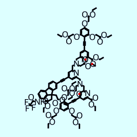 CCOC(=O)COc1cc(OCC(=O)OCC)c(C#Cc2cc(CN(CC(=O)OCC)Cc3cc(C#Cc4ccc5c(c4)C(CC(=O)OCC)(CC(=O)OCC)c4cc(NC(=O)C(F)(F)F)ccc4-5)cc(CN(CC(=O)OCC)Cc4cc(C#Cc5c(OCC(=O)OCC)cc(OCC(=O)OCC)cc5OCC(=O)OCC)cc(C(=O)OCC)n4)n3)nc(C(=O)OCC)c2)c(OCC(=O)OCC)c1